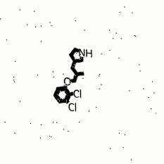 CC(COc1cccc(Cl)c1Cl)CC1CCNC1